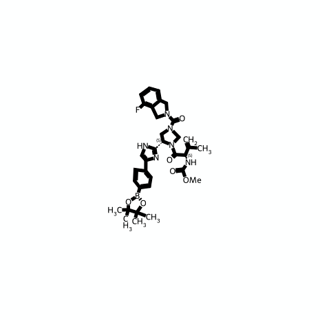 C=C(C)[C@H](NC(=O)OC)C(=O)N1CN(C(=O)N2Cc3cccc(F)c3C2)C[C@H]1c1nc(-c2ccc(B3OC(C)(C)C(C)(C)O3)cc2)c[nH]1